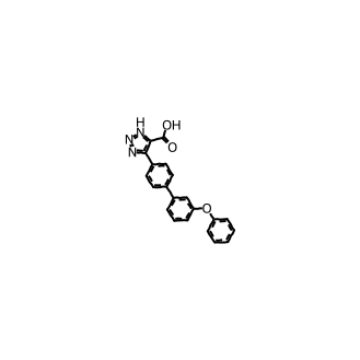 O=C(O)c1[nH]nnc1-c1ccc(-c2cccc(Oc3ccccc3)c2)cc1